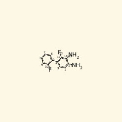 Nc1ccc(-c2ccccc2F)c(F)c1N